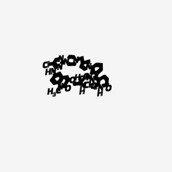 CNC(=O)COc1cc2cc(Nc3nc(N4CCN(CC5CCN(c6cccc7c(C8CCC(=O)NC8=O)nn(C)c67)C5)CC4)ncc3Cl)ccc2n(C)c1=O